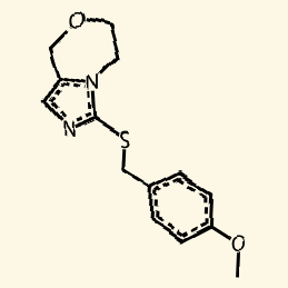 COc1ccc(CSc2ncc3n2CCOC3)cc1